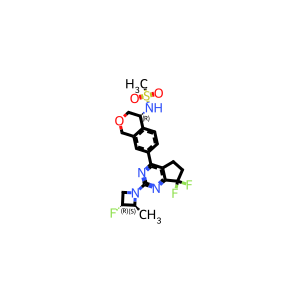 C[C@H]1[C@H](F)CN1c1nc(-c2ccc3c(c2)COC[C@@H]3NS(C)(=O)=O)c2c(n1)C(F)(F)CC2